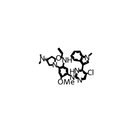 C=CC(=O)Nc1cc(Nc2ncc(Cl)c(-c3cn(C)c4ccccc34)n2)c(OC)cc1N1CC[C@@H](N(C)C)C1